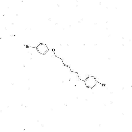 Brc1ccc(OCCC=CCCOc2ccc(Br)cc2)cc1